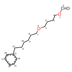 O=[C]OCCCCOCCCCCCc1ccccc1